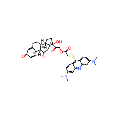 CN(C)c1ccc2c(SCC(=O)OCC(=O)[C@@]3(O)CC[C@H]4[C@@H]5CCC6=CC(=O)C=C[C@]6(C)[C@H]5C(=O)C[C@@]43C)c3ccc(N(C)C)cc3nc2c1